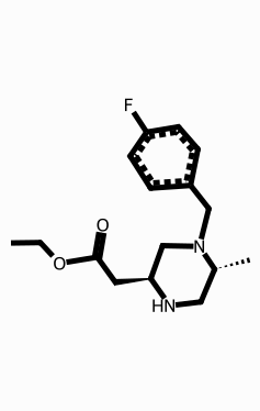 CCOC(=O)C[C@H]1CN(Cc2ccc(F)cc2)[C@H](C)CN1